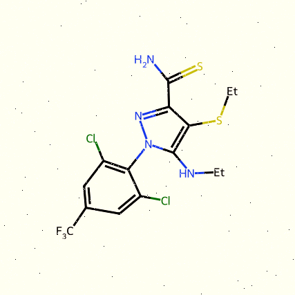 CCNc1c(SCC)c(C(N)=S)nn1-c1c(Cl)cc(C(F)(F)F)cc1Cl